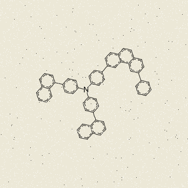 c1ccc(-c2ccc3ccc4ccc(-c5ccc(N(c6ccc(-c7cccc8ccccc78)cc6)c6ccc(-c7cccc8ccccc78)cc6)cc5)cc4c3c2)cc1